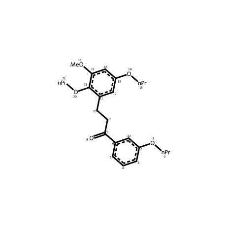 CCCOc1cccc(C(=O)CCc2cc(OCCC)cc(OC)c2OCCC)c1